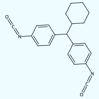 O=C=Nc1ccc(C(c2ccc(N=C=O)cc2)C2CCCCC2)cc1